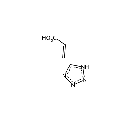 C=CC(=O)O.c1nnn[nH]1